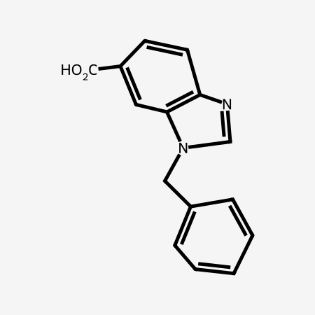 O=C(O)c1ccc2ncn(Cc3ccccc3)c2c1